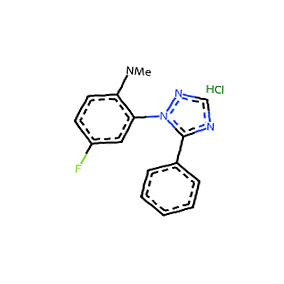 CNc1ccc(F)cc1-n1ncnc1-c1ccccc1.Cl